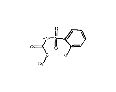 CC(C)OC(=O)NS(=O)(=O)c1ccccc1Cl